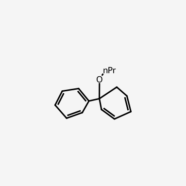 CCCOC1(c2ccccc2)C=CC=CC1